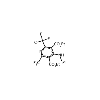 CCOC(=O)c1c(C(F)(F)F)nc(C(F)(F)Cl)c(C(=O)OCC)c1NC(C)C